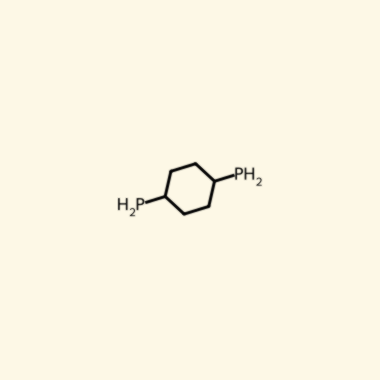 PC1CCC(P)CC1